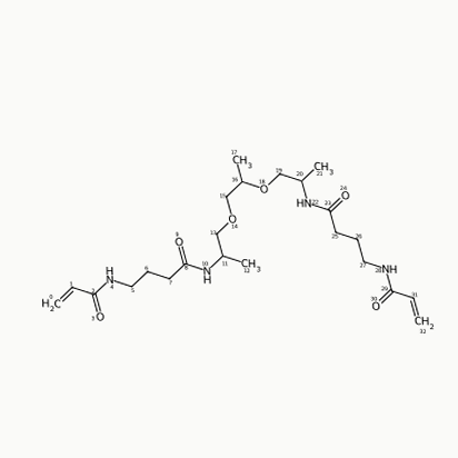 C=CC(=O)NCCCC(=O)NC(C)COCC(C)OCC(C)NC(=O)CCCNC(=O)C=C